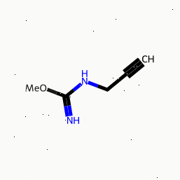 C#CCNC(=N)OC